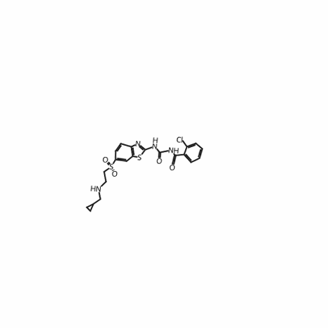 O=C(NC(=O)c1ccccc1Cl)Nc1nc2ccc(S(=O)(=O)CCNCC3CC3)cc2s1